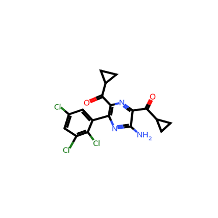 Nc1nc(-c2cc(Cl)cc(Cl)c2Cl)c(C(=O)C2CC2)nc1C(=O)C1CC1